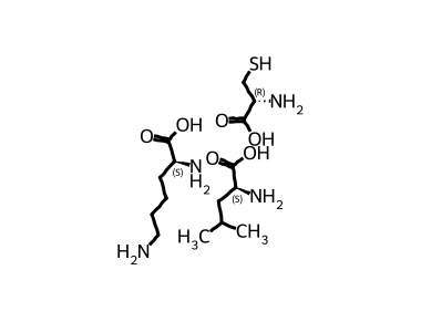 CC(C)C[C@H](N)C(=O)O.NCCCC[C@H](N)C(=O)O.N[C@@H](CS)C(=O)O